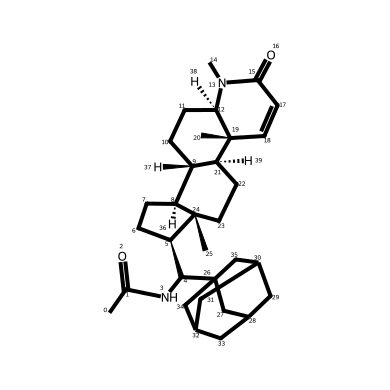 CC(=O)NC([C@H]1CC[C@H]2[C@@H]3CC[C@H]4N(C)C(=O)C=C[C@]4(C)[C@H]3CC[C@]12C)C12CC3CC(CC(C3)C1)C2